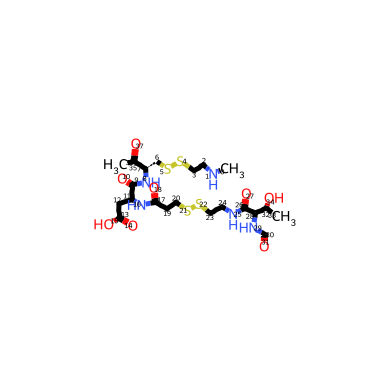 CNCCSSC[C@H](NC(=O)C(CC(=O)O)NC(=O)CCSSCCNC(=O)C(NC=O)C(C)O)C(C)=O